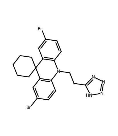 Brc1ccc2c(c1)C1(CCCCC1)c1cc(Br)ccc1N2CCc1nnn[nH]1